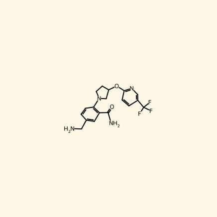 NCc1ccc(N2CCC(Oc3ccc(C(F)(F)F)cn3)C2)c(C(N)=O)c1